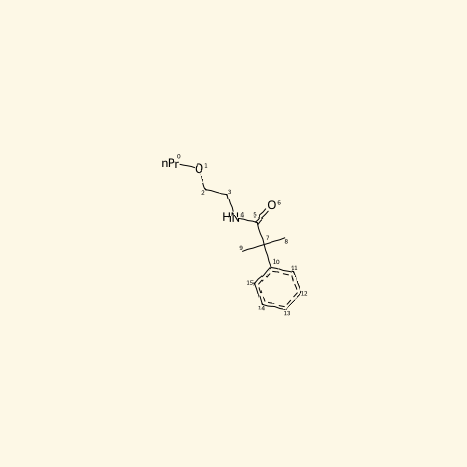 CCCOCCNC(=O)C(C)(C)c1ccccc1